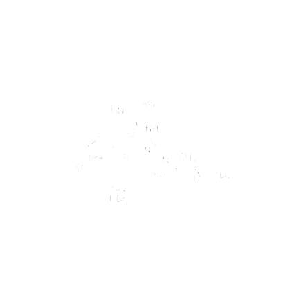 Br.Br.CCCC(NC1CCc2cc(Cl)cc(F)c2C1)C(=O)Nc1cn(C(C)(C)CNCC(C)(C)C)cn1